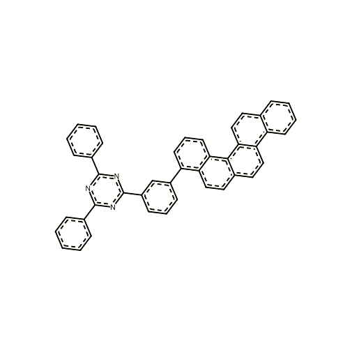 c1ccc(-c2nc(-c3ccccc3)nc(-c3cccc(-c4cccc5c4ccc4ccc6c7ccccc7ccc6c45)c3)n2)cc1